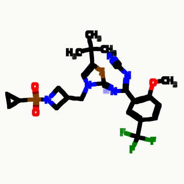 COc1ccc(C(F)(F)F)cc1C(=NC#N)/N=c1\sc(C(C)(C)C)cn1CC1CN(S(=O)(=O)C2CC2)C1